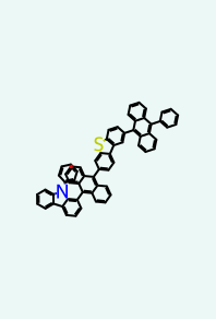 c1ccc(-c2c3ccccc3c(-c3ccc4sc5cc(-c6c7ccccc7c(-c7cccc8c9ccccc9n(-c9ccccc9)c78)c7ccccc67)ccc5c4c3)c3ccccc23)cc1